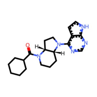 O=C(C1CCCCC1)N1CCC[C@@H]2[C@H]1CCN2c1ncnc2[nH]ccc12